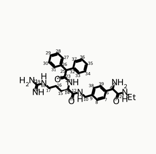 CCNC(=O)C(N)c1ccc(CNC(=O)[C@@H](CCCNC(=N)N)NC(=O)C(c2ccccc2)c2ccccc2)cc1